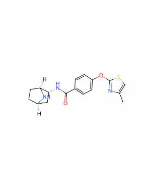 Cc1csc(Oc2ccc(C(=O)N[C@@H]3C[C@H]4CC[C@@H]3N4)cc2)n1